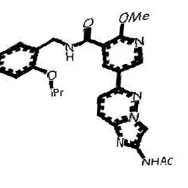 COc1ncc(-c2ccc3nc(NC(C)=O)cn3n2)cc1C(=O)NCc1ccccc1OC(C)C